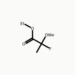 CCOC(=O)C(C)(F)OC